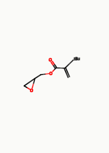 C=C(C(=O)OCC1CO1)C(C)(C)C